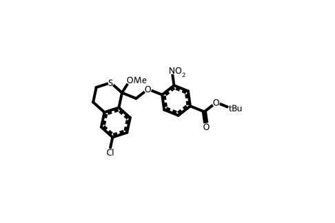 COC1(COc2ccc(C(=O)OC(C)(C)C)cc2[N+](=O)[O-])SCCc2cc(Cl)ccc21